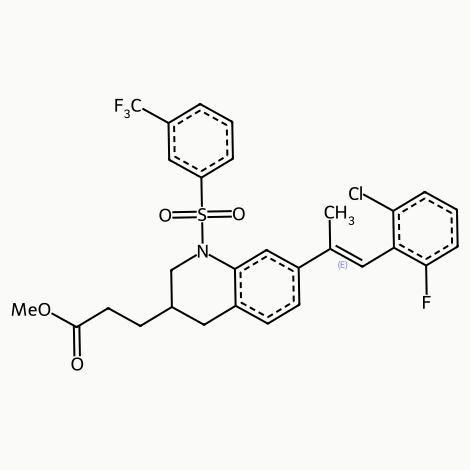 COC(=O)CCC1Cc2ccc(/C(C)=C/c3c(F)cccc3Cl)cc2N(S(=O)(=O)c2cccc(C(F)(F)F)c2)C1